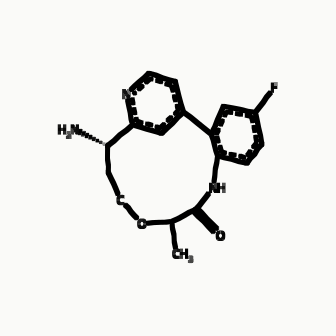 CC1OCC[C@H](N)c2cc(ccn2)-c2cc(F)ccc2NC1=O